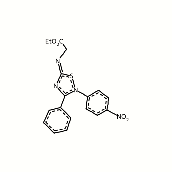 CCOC(=O)CN=c1nc(-c2ccccc2)n(-c2ccc([N+](=O)[O-])cc2)s1